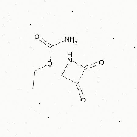 CCOC(N)=O.O=C1CNC1=O